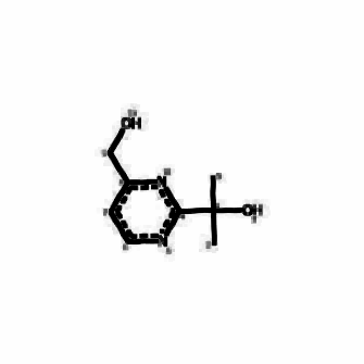 CC(C)(O)c1nccc(CO)n1